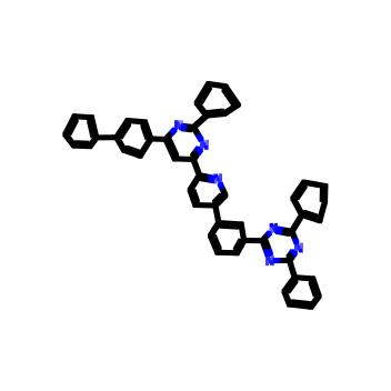 c1ccc(-c2ccc(-c3cc(-c4ccc(-c5cccc(-c6nc(-c7ccccc7)nc(-c7ccccc7)n6)c5)cn4)nc(-c4ccccc4)n3)cc2)cc1